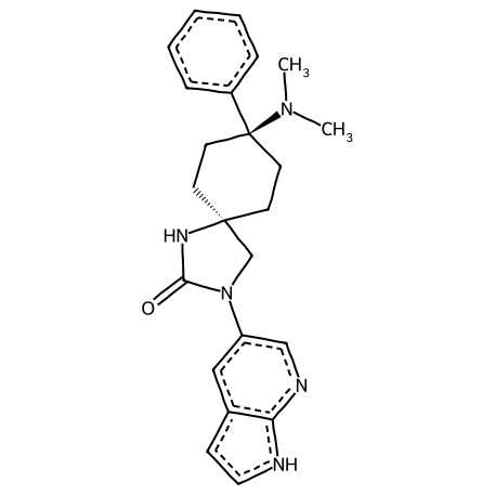 CN(C)[C@]1(c2ccccc2)CC[C@]2(CC1)CN(c1cnc3[nH]ccc3c1)C(=O)N2